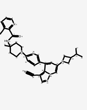 Cc1cccnc1C(=O)NC1(C)CCN(c2ccc(-c3cc(N4CC(C(C)C)C4)cn4ncc(C#N)c34)cn2)CC1